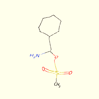 CS(=O)(=O)OC(N)C1CCCCC1